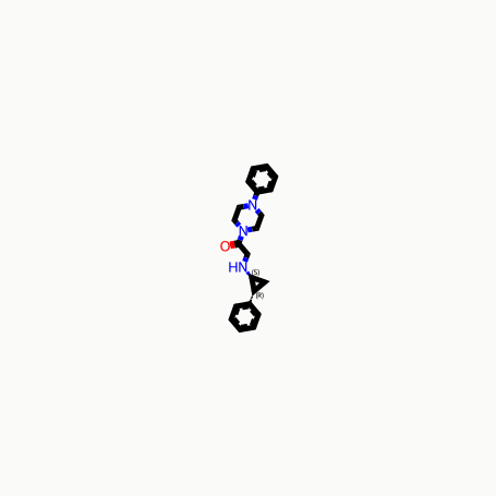 O=C(CN[C@H]1C[C@@H]1c1ccccc1)N1CCN(c2ccccc2)CC1